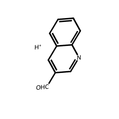 O=Cc1cnc2ccccc2c1.[H+]